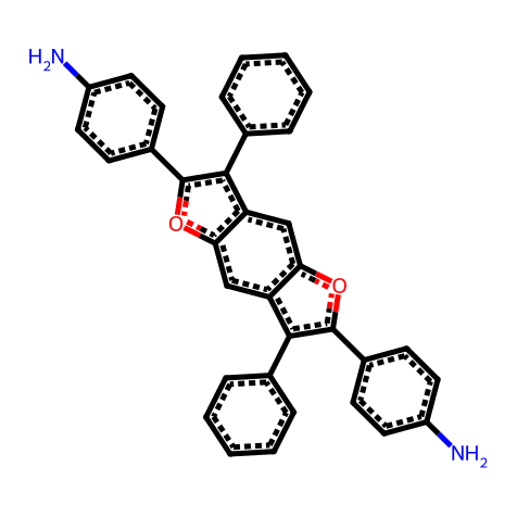 Nc1ccc(-c2oc3cc4c(-c5ccccc5)c(-c5ccc(N)cc5)oc4cc3c2-c2ccccc2)cc1